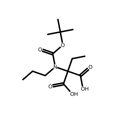 CCCN(C(=O)OC(C)(C)C)C(CC)(C(=O)O)C(=O)O